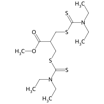 CCN(CC)C(=S)SCC(CSC(=S)N(CC)CC)C(=O)OC